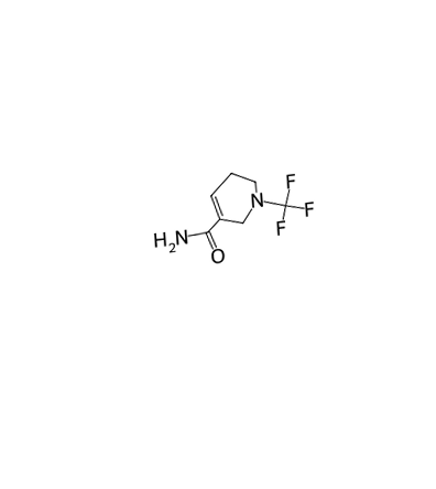 NC(=O)C1=CCCN(C(F)(F)F)C1